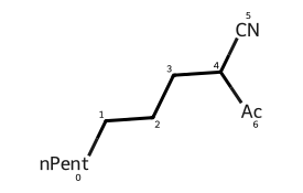 CCCCCCCCC(C#N)C(C)=O